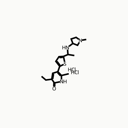 CCc1cc(-c2ccc(C(C)NC3CCN(C)C3)s2)c(C)[nH]c1=O.Cl.Cl